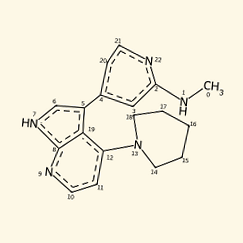 CNc1cc(-c2c[nH]c3nccc(N4CCCCC4)c23)ccn1